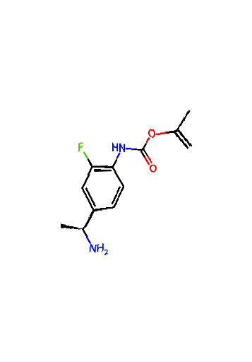 C=C(C)OC(=O)Nc1ccc([C@H](C)N)cc1F